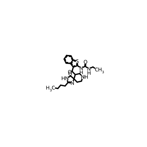 CCCCC1=NC2(CCNCC2C(=O)c2c(NC(=O)NCC)sc3ccccc23)C(=O)N1